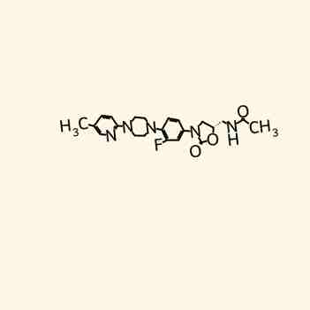 CC(=O)NC[C@H]1CN(c2ccc(N3CCN(c4ccc(C)cn4)CC3)c(F)c2)C(=O)O1